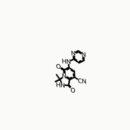 CC1(C)NC(=O)c2c(C#N)cc(Nc3ccncn3)c(=O)n21